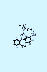 CN(C)CCSC1c2ccccc2COc2ccc(C#N)cc21